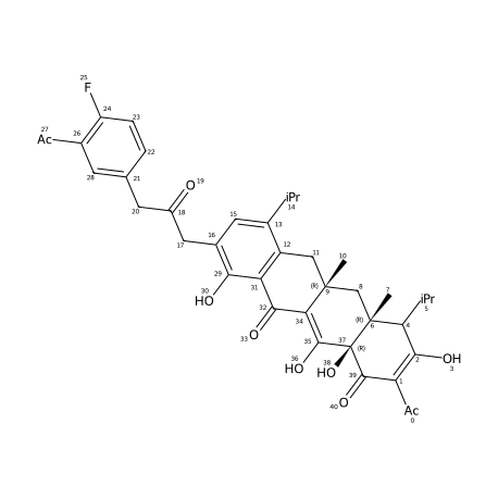 CC(=O)C1=C(O)C(C(C)C)[C@@]2(C)C[C@@]3(C)Cc4c(C(C)C)cc(CC(=O)Cc5ccc(F)c(C(C)=O)c5)c(O)c4C(=O)C3=C(O)[C@@]2(O)C1=O